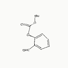 CC(C)(C)OC(=O)Oc1ccccc1C=O